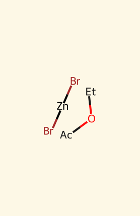 CCOC(C)=O.[Br][Zn][Br]